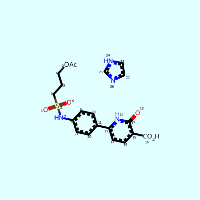 CC(=O)OCCCS(=O)(=O)Nc1ccc(-c2ccc(C(=O)O)c(=O)[nH]2)cc1.c1c[nH]cn1